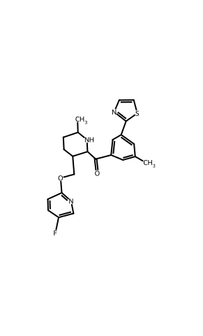 Cc1cc(C(=O)C2NC(C)CCC2COc2ccc(F)cn2)cc(-c2nccs2)c1